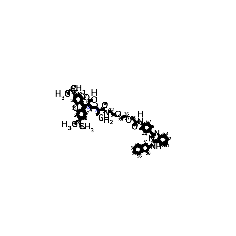 C=C/C(=C\C=C(/C(=O)O)c1c2ccc(=[N+](C)C)cc-2oc2cc(N(C)C)ccc12)C(=O)NCCOCCOCC(=O)Nc1ccc(-c2nc(NC3Cc4ccccc4C3)c3ccccc3n2)cc1